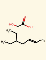 CC=CCC(CC)CC.O=C(O)CO